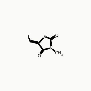 CN1C(=O)S/C(=C\I)C1=O